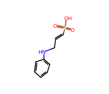 O=S(=O)(O)C=CCNc1ccccc1